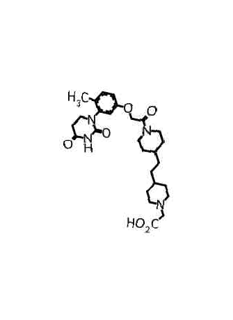 Cc1ccc(OCC(=O)N2CCC(CCC3CCN(CC(=O)O)CC3)CC2)cc1N1CCC(=O)NC1=O